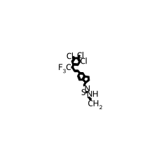 C=CCNC(=S)/N=C/C1CCc2cc(/C=C/C(c3cc(Cl)c(Cl)c(Cl)c3)C(F)(F)F)ccc21